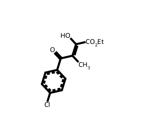 CCOC(=O)/C(O)=C(\C)C(=O)c1ccc(Cl)cc1